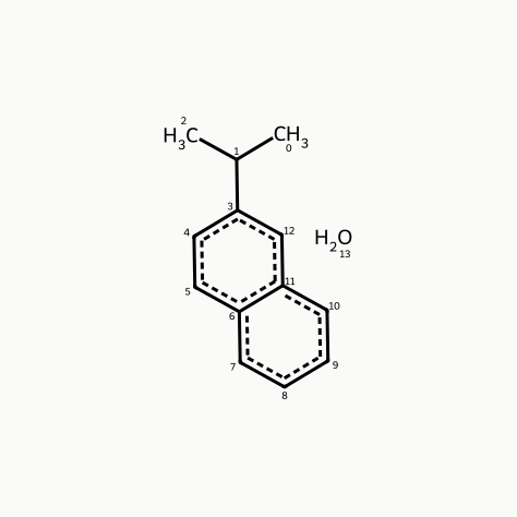 CC(C)c1ccc2ccccc2c1.O